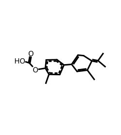 CC1=CC(c2ccc(OC(=O)O)c(C)c2)=CCC1=C(C)C